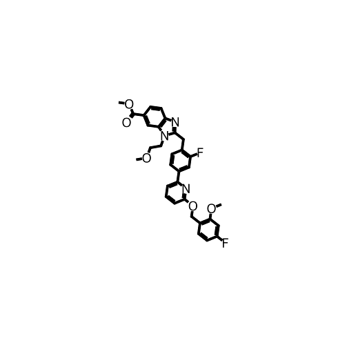 COCCn1c(Cc2ccc(-c3cccc(OCc4ccc(F)cc4OC)n3)cc2F)nc2ccc(C(=O)OC)cc21